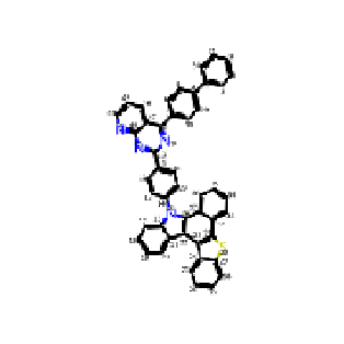 c1ccc(-c2ccc(-c3nc(-c4ccc(-n5c6ccccc6c6c7c8ccccc8sc7c7ccccc7c65)cc4)nc4ncccc34)cc2)cc1